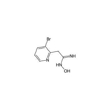 N=C(Cc1ncccc1Br)NO